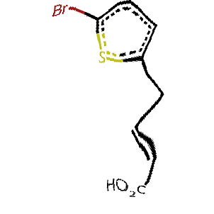 O=C(O)/C=C/Cc1ccc(Br)s1